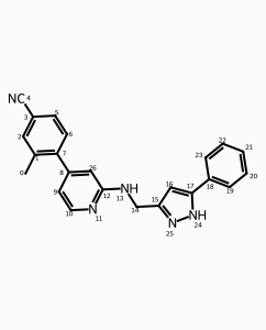 Cc1cc(C#N)ccc1-c1ccnc(NCc2cc(-c3ccccc3)[nH]n2)c1